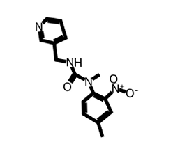 Cc1ccc(N(C)C(=O)NCc2cccnc2)c([N+](=O)[O-])c1